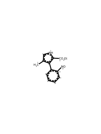 CCOC(=O)c1[nH]cc(C)c1-c1ccccc1N=O